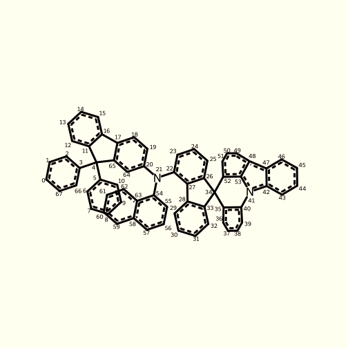 c1ccc(C2(c3ccccc3)c3ccccc3-c3ccc(N(c4cccc5c4-c4ccccc4C54c5ccccc5-n5c6ccccc6c6cccc4c65)c4cccc5ccccc45)cc32)cc1